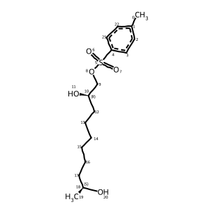 Cc1ccc(S(=O)(=O)OC[C@H](O)CCCCCC[C@H](C)O)cc1